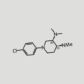 CN[C@H]1CCN(c2ccc(Cl)cc2)C[C@H]1N(C)C